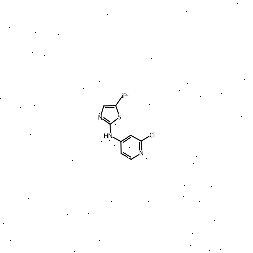 CC(C)c1cnc(Nc2ccnc(Cl)c2)s1